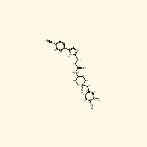 N#Cc1ccc(-c2csc(SCC(=O)NC3CC[N+]([O-])(Cc4ccc(Cl)c(Cl)c4)CC3)n2)cc1